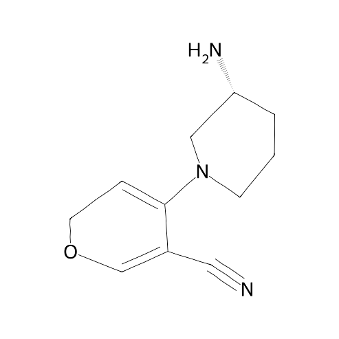 N#CC1=COCC=C1N1CCC[C@@H](N)C1